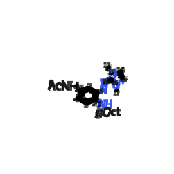 CCCCCCCCNc1ccc(NC(C)=O)cc1/N=N/c1n(C)cc[n+]1C